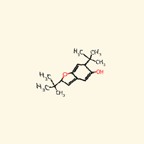 CC(C)(C)C1C=C2C=C(O)C(C(C)(C)C)C=C2O1